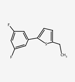 CCc1ccc(-c2cc(F)cc(F)c2)s1